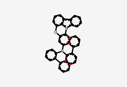 c1ccc(-c2ccccc2N(c2ccc3c(c2)Oc2cccc4c5ccccc5n-3c24)c2ccccc2-c2ccccc2)cc1